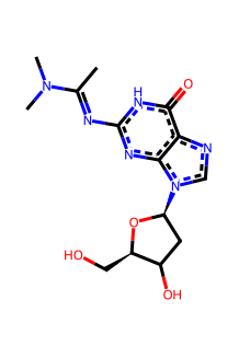 C/C(=N\c1nc2c(ncn2[C@H]2CC(O)[C@@H](CO)O2)c(=O)[nH]1)N(C)C